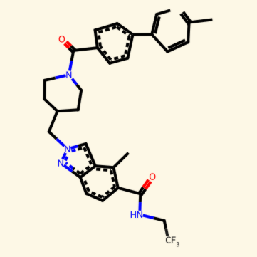 C=C(C)/C=C\C(=C/C)c1ccc(C(=O)N2CCC(Cn3cc4c(C)c(C(=O)NCC(F)(F)F)ccc4n3)CC2)cc1